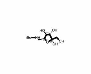 CCC(C)NC[C@@H]1O[C@](O)(CO)[C@@H](O)[C@@H]1O